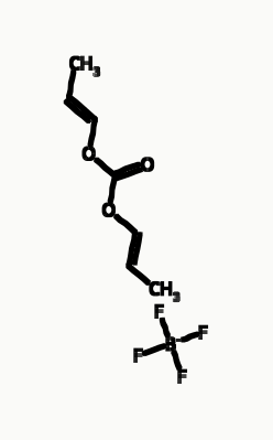 CC=COC(=O)OC=CC.F[B-](F)(F)F